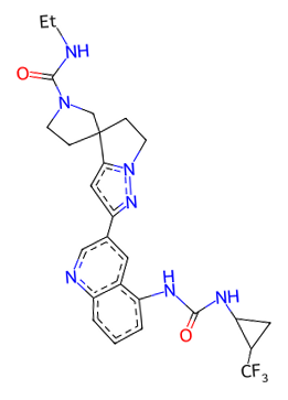 CCNC(=O)N1CCC2(CCn3nc(-c4cnc5cccc(NC(=O)NC6CC6C(F)(F)F)c5c4)cc32)C1